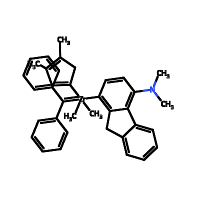 CC1=C(C)C[C]([Zr]([CH3])([CH3])(=[C](c2ccccc2)c2ccccc2)[c]2ccc(N(C)C)c3c2Cc2ccccc2-3)=C1